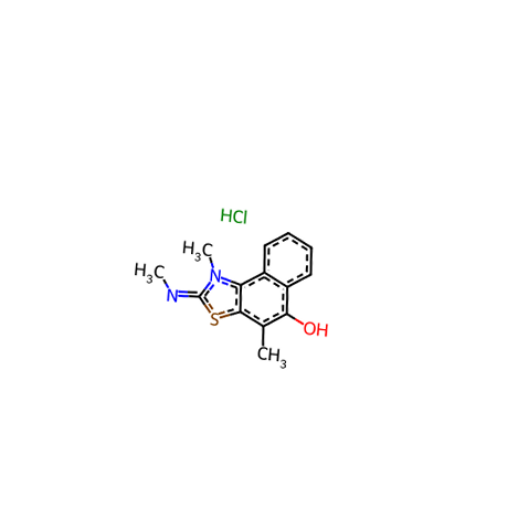 CN=c1sc2c(C)c(O)c3ccccc3c2n1C.Cl